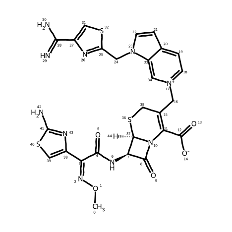 CO/N=C(\C(=O)N[C@@H]1C(=O)N2C(C(=O)[O-])=C(C[n+]3ccc4ccn(Cc5nc(C(=N)N)cs5)c4c3)CS[C@H]12)c1csc(N)n1